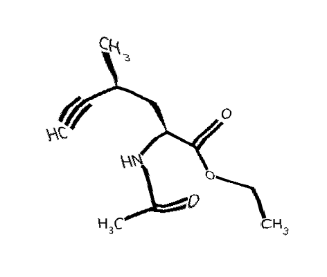 C#C[C@@H](C)C[C@H](NC(C)=O)C(=O)OCC